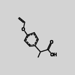 C=COc1ccc(C(C)C(=O)O)cc1